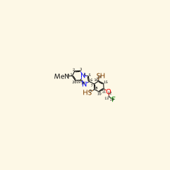 CNc1ccn2cc(-c3c(S)cc(OCF)cc3S)nc2c1